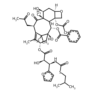 CC(=O)C[C@H]1C(=O)[C@@]2(C)[C@H]([C@H](OC(=O)c3ccccc3)[C@]3(O)C[C@H](OC(=O)[C@H](O)[C@@H](NC(=O)SCC(C)C)c4ccco4)C(C)=C1C3(C)C)[C@]1(OC(C)=O)CO[C@@H]1C[C@@H]2O